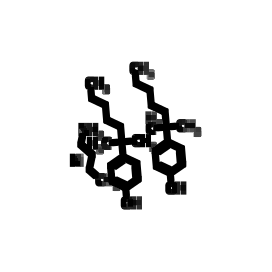 CCCCCC(C)(C)c1ccc(O)cc1.CCCCCC(C)(C)c1ccc(O)cc1.CCCCN.[Ni]